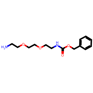 NCCOCCOCCNC(=O)OCc1ccccc1